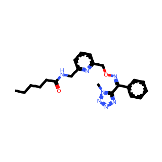 CCCCCC(=O)NCc1cccc(CON=C(c2ccccc2)c2nnnn2C)n1